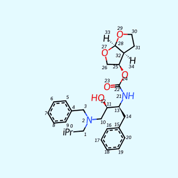 CC(C)CN(Cc1ccccc1)C[C@@H](O)[C@H](Cc1ccccc1)NC(=O)O[C@H]1CO[C@H]2OCC[C@H]21